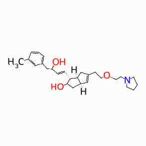 Cc1cccc(C[C@@H](O)/C=C/[C@@H]2[C@H]3CC(CCOCCN4CCCC4)=C[C@H]3C[C@H]2O)c1